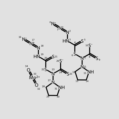 [N-]=[N+]=NNC(=S)SN(C(=S)[S-])N1CCCN1.[N-]=[N+]=NNC(=S)SN(C(=S)[S-])N1CCCN1.[O]=[Mo+2]=[O]